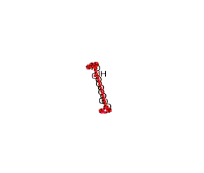 O=C(CCOCCOCCOCCOCCOCCC(=O)OCCCC(=O)N1Cc2ccccc2/C=C\c2ccccc21)NCCCC(=O)N1Cc2ccccc2C#Cc2ccccc21